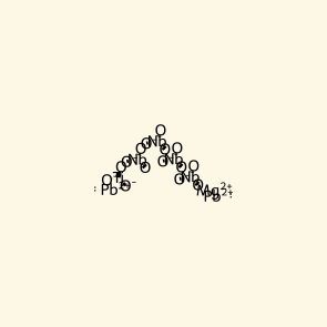 [Mg+2].[O]=[Nb](=[O])[O-].[O]=[Nb](=[O])[O-].[O]=[Nb](=[O])[O-].[O]=[Nb](=[O])[O-].[O]=[Ti]([O-])[O-].[Pb+2].[Pb+2]